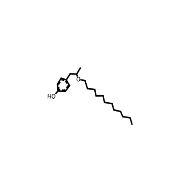 CCCCCCCCCCCCOC(C)Cc1ccc(O)cc1